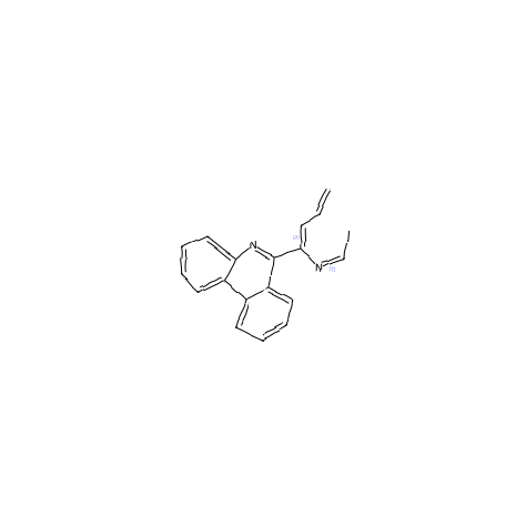 C=C/C=C(\N=C/C)c1nc2ccccc2c2ccccc12